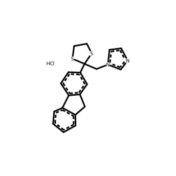 Cl.c1ccc2c(c1)Cc1cc(C3(Cn4ccnc4)SCCS3)ccc1-2